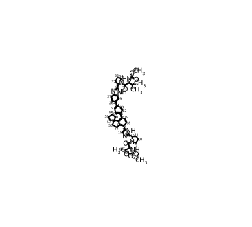 COC(=O)N[C@H](C(=O)N1CCCC1c1ncc(-c2ccc(-c3ccc(-c4ccc5nc(C6CCCN6C(=O)[C@@H](NC(=O)OC)C(C)C)[nH]c5c4)cc3)c3c2CCC32CCCC2)[nH]1)C(C)C